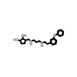 OC1CCC(CNCCCNCCc2cccc(Oc3ccccc3)c2)C1O